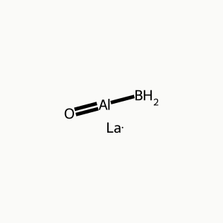 [BH2][Al]=[O].[La]